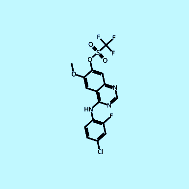 COc1cc2c(Nc3ccc(Cl)cc3F)ncnc2cc1OS(=O)(=O)C(F)(F)F